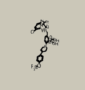 CCc1nc2ccc(Cl)cn2c1C(=O)NCc1ccc(N2CCC(c3ccc(OC(F)(F)F)cc3)CC2)cc1.O=P(O)(O)O